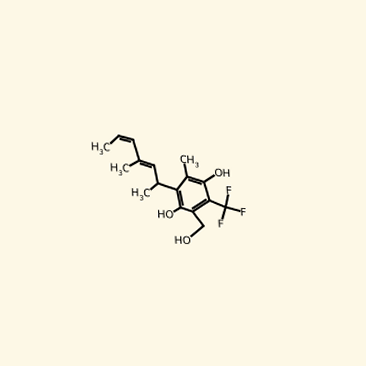 C/C=C\C(C)=C\C(C)c1c(C)c(O)c(C(F)(F)F)c(CO)c1O